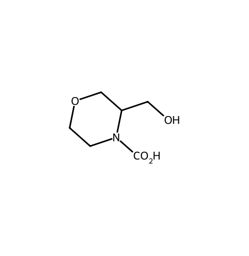 O=C(O)N1CCOCC1CO